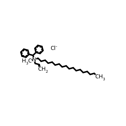 C=CC[N+](C)(CCCCCCCCCCCCCCCCCC)C(c1ccccc1)c1ccccc1.[Cl-]